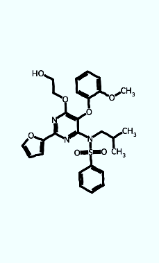 COc1ccccc1Oc1c(OCCO)nc(-c2ccco2)nc1N(CC(C)C)S(=O)(=O)c1ccccc1